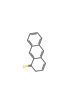 S=C1CC=Cc2cc3ccccc3cc21